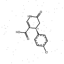 O=C1C[C@@H](c2ccc(Cl)cc2)C(C(=O)O)=CN1